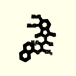 CCC(N1C(=O)c2ccc(OC)c(OC)c2C1=O)N(C)C(C)Oc1cccc2ccccc12